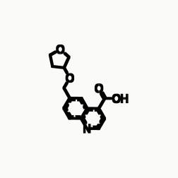 O=C(O)c1ccnc2ccc(COC3CCOC3)cc12